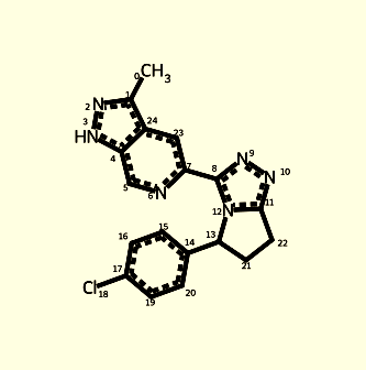 Cc1n[nH]c2cnc(-c3nnc4n3C(c3ccc(Cl)cc3)CC4)cc12